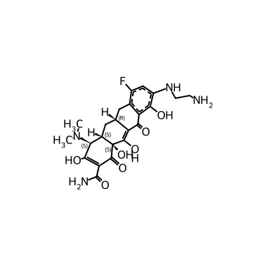 CN(C)[C@@H]1C(O)=C(C(N)=O)C(=O)[C@@]2(O)C(O)=C3C(=O)c4c(O)c(NCCN)cc(F)c4C[C@H]3C[C@@H]12